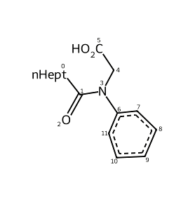 CCCCCCCC(=O)N(CC(=O)O)c1ccccc1